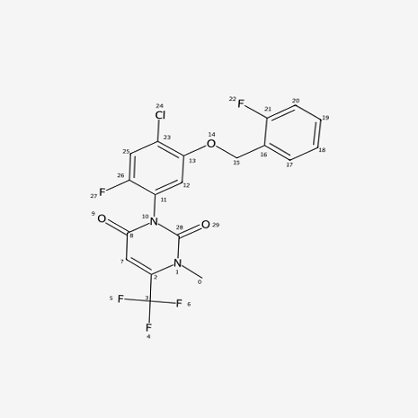 Cn1c(C(F)(F)F)cc(=O)n(-c2cc(OCc3ccccc3F)c(Cl)cc2F)c1=O